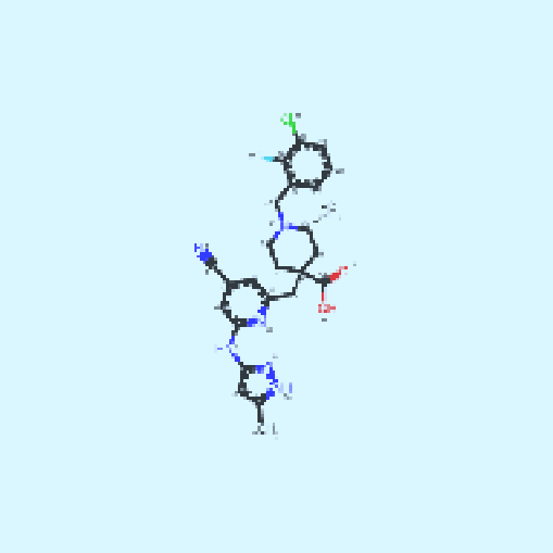 Cc1cc(Nc2cc(C#N)cc(C[C@@]3(C(=O)O)CCN(Cc4cccc(Cl)c4F)[C@H](C)C3)n2)n[nH]1